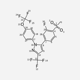 CS(=O)(=O)c1ccc(-c2cc(C(F)(F)F)nn2-c2ccc(OC(F)(F)F)cc2)cc1F